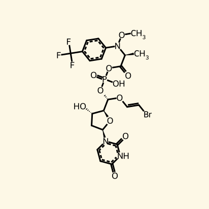 CON(c1ccc(C(F)(F)F)cc1)[C@@H](C)C(=O)OP(=O)(O)O[C@H](O/C=C/Br)[C@H]1O[C@@H](n2ccc(=O)[nH]c2=O)C[C@@H]1O